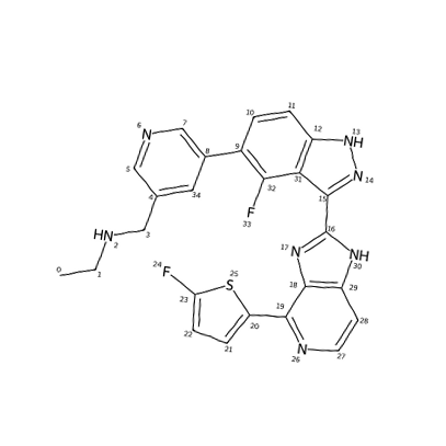 CCNCc1cncc(-c2ccc3[nH]nc(-c4nc5c(-c6ccc(F)s6)nccc5[nH]4)c3c2F)c1